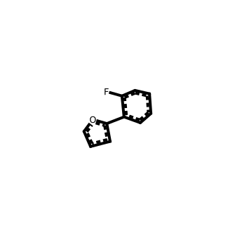 Fc1ccccc1-c1ccco1